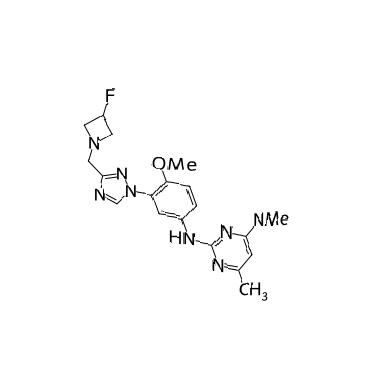 CNc1cc(C)nc(Nc2ccc(OC)c(-n3cnc(CN4CC(F)C4)n3)c2)n1